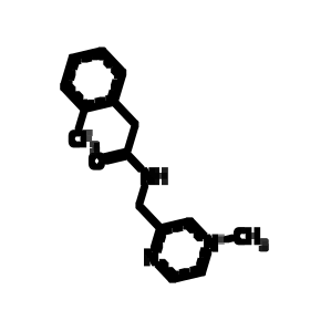 C[n+]1ccnc(CNC(=O)Cc2ccccc2C(F)(F)F)c1